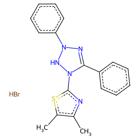 Br.Cc1nc(N2NN(c3ccccc3)N=C2c2ccccc2)sc1C